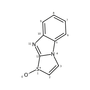 [O-][s+]1ccn2c3ccccc3nc21